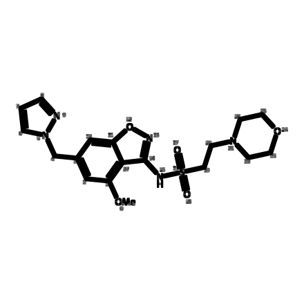 COc1cc(Cn2cccn2)cc2onc(NS(=O)(=O)CCN3CCOCC3)c12